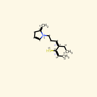 C=C1CC=CN1CC/C=C(CC)\C(S)=C/C